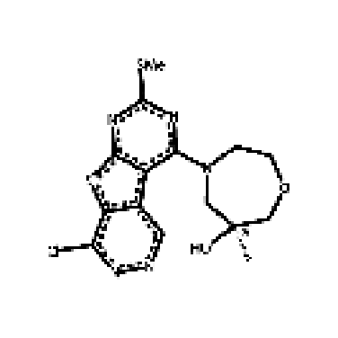 CSc1nc(N2CCOC[C@@](C)(O)C2)c2c(n1)sc1c(Cl)nncc12